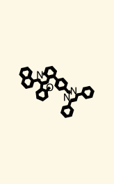 c1ccc(-c2cc(-c3ccccc3)nc(-c3ccc(-c4cccc5nc(-c6cccc7ccccc67)c6c7ccccc7oc6c45)cc3)n2)cc1